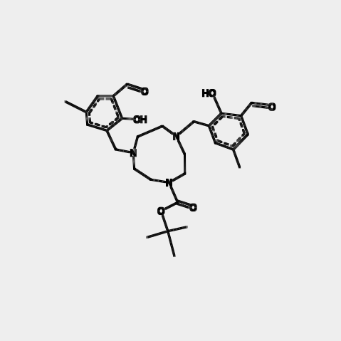 Cc1cc(C=O)c(O)c(CN2CCN(Cc3cc(C)cc(C=O)c3O)CCN(C(=O)OC(C)(C)C)CC2)c1